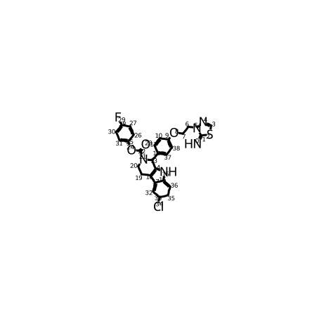 N=c1scnn1CCOc1ccc(C2c3[nH]c4c(c3CCN2C(=O)Oc2ccc(F)cc2)=CC(Cl)CC=4)cc1